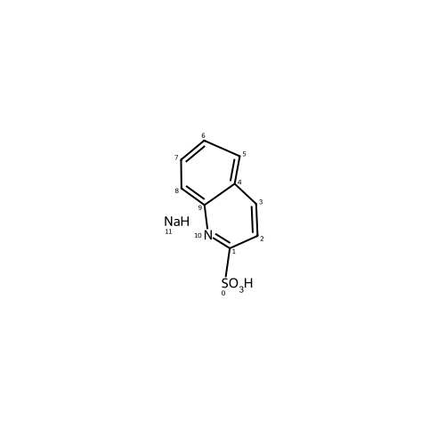 O=S(=O)(O)c1ccc2ccccc2n1.[NaH]